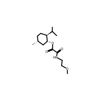 COCCNC(=O)C(=O)O[C@@H]1C[C@H](C)CC[C@H]1C(C)C